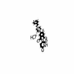 Cl.O=C1C=CC(N2C(=O)c3cc(F)c(N4CCN(CCc5ccncc5)CC4)cc3C2=O)C(=O)N1